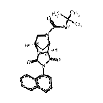 CC(C)(C)NC(=O)N1C[C@H]2CC1[C@H]1C(=O)N(c3cccc4ccccc34)C(=O)N21